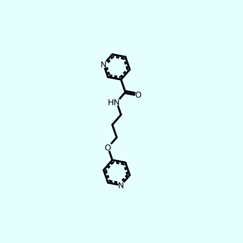 O=C(NCCCOc1ccncc1)c1cccnc1